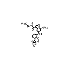 CNc1cc(Nc2cccn([C@H]3[C@@H]4COC[C@@H]43)c2=O)nc2c(C(=O)NC3CC3OC)cnn12